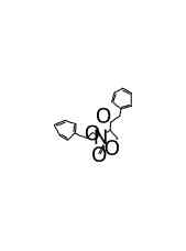 O=C(Cc1ccccc1)C1COC(=O)N1OCc1ccccc1